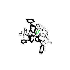 Cc1c(-c2ccccc2)ccc([Si](Cl)(c2ccc(-c3ccccc3)c(C)c2C)c2ccc(-c3ccccc3)c(C)c2C)c1C